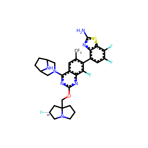 Nc1nc2c(-c3c(C(F)(F)F)cc4c(N5CC6CCC(C5)N6)nc(OCC56CCCN5C[C@H](F)C6)nc4c3F)cc(F)c(F)c2s1